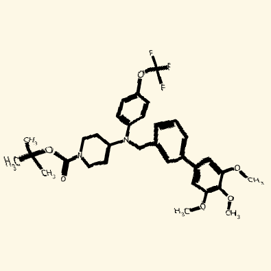 COc1cc(-c2cccc(CN(c3ccc(OC(F)(F)F)cc3)C3CCN(C(=O)OC(C)(C)C)CC3)c2)cc(OC)c1OC